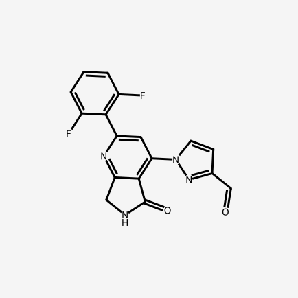 O=Cc1ccn(-c2cc(-c3c(F)cccc3F)nc3c2C(=O)NC3)n1